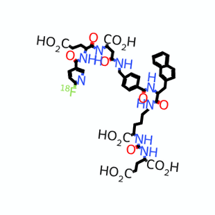 O=C(O)CCC(NC(=O)NC(CCCCNC(=O)C(Cc1ccc2ccccc2c1)NC(=O)c1ccc(CNC(=O)CC(NC(=O)C(CCC(=O)O)NC(=O)c2ccc([18F])nc2)C(=O)O)cc1)C(=O)O)C(=O)O